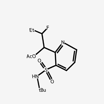 CCC(F)C(OC(C)=O)c1ncccc1S(=O)(=O)NC(C)(C)C